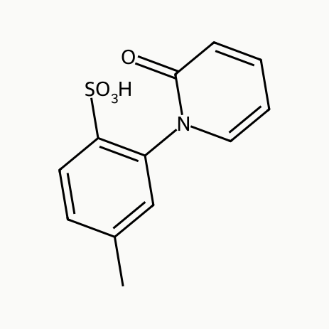 Cc1ccc(S(=O)(=O)O)c(-n2ccccc2=O)c1